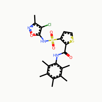 Cc1noc(NS(=O)(=O)c2ccsc2C(=O)Nc2c(C)c(C)c(C)c(C)c2C)c1Cl